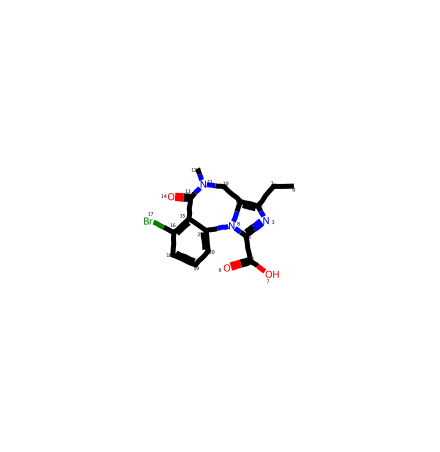 CCc1nc(C(=O)O)n2c1CN(C)C(=O)c1c(Br)cccc1-2